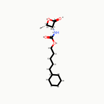 C[C@@H]1OC(=O)[C@@H]1NC(=O)OCCCCCC1CCCCC1